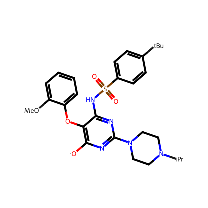 COc1ccccc1Oc1c([O])nc(N2CCN(C(C)C)CC2)nc1NS(=O)(=O)c1ccc(C(C)(C)C)cc1